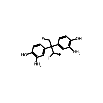 Nc1cc(C(CF)(c2ccc(O)c(N)c2)C(F)F)ccc1O